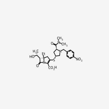 CCC12CC(S[C@H]3C[C@@H](C(=O)N(C)C)N(Cc4ccc([N+](=O)[O-])cc4)C3)=C(C(=O)O)N1C(=O)[C@@H]2[C@@H](C)O